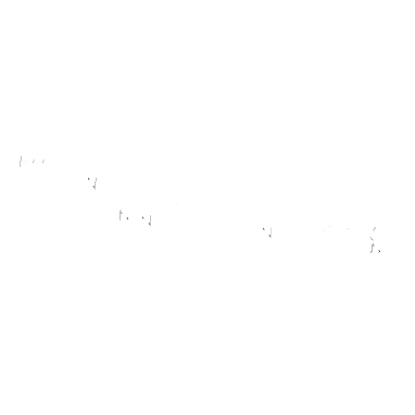 CN(C)[C@@H]1CCC[C@H]1Oc1ccc(C(C)(C)CCC(C)(C)c2ccc(N3CCC(O)C4(CC4)C3)nn2)nc1